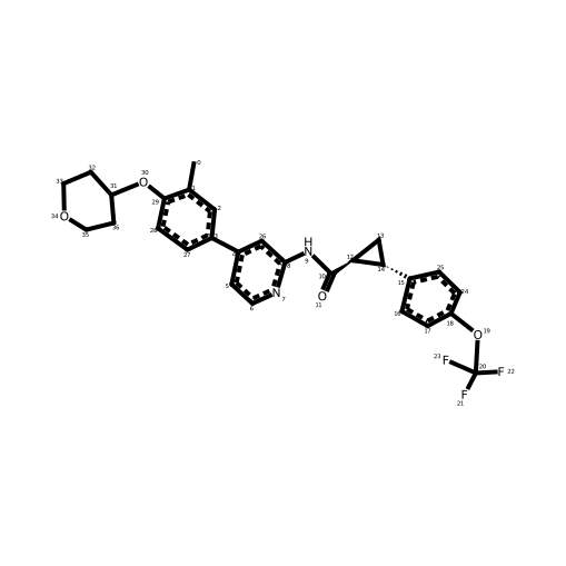 Cc1cc(-c2ccnc(NC(=O)[C@H]3C[C@@H]3c3ccc(OC(F)(F)F)cc3)c2)ccc1OC1CCOCC1